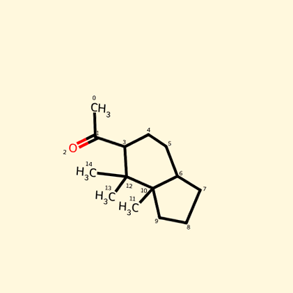 CC(=O)C1CCC2CCCC2(C)C1(C)C